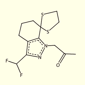 CC(=O)Cn1nc(C(F)F)c2c1C1(CCC2)SCCS1